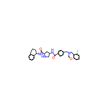 O=CN(Cc1ccc(C(=O)NC2CNC(C(=O)NC3CCCc4ccccc43)C2)cc1)Cc1ccccc1F